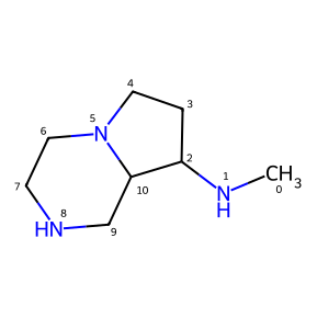 CNC1CCN2CCNCC12